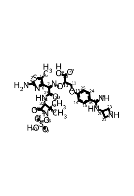 Cc1sc(N)nc1/C(=N/OC(COc1ccc(C(=N)NC2CNC2)cc1)C(=O)O)C(=O)N[C@@H]1C(=O)N(OS(=O)(=O)O)C1(C)C